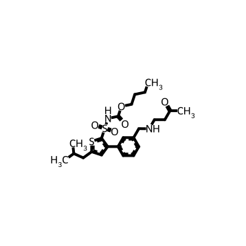 CCCCOC(=O)NS(=O)(=O)c1sc(CC(C)C)cc1-c1cccc(CNCCC(C)=O)c1